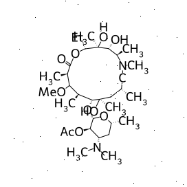 CC[C@H]1OC(=O)[C@H](C)C(OC)[C@H](C)[C@@H](O[C@@H]2O[C@H](C)C[C@H](N(C)C)[C@H]2OC(C)=O)[C@](C)(O)C[C@@H](C)CN(C)[C@H](C)[C@@H](O)[C@]1(C)O